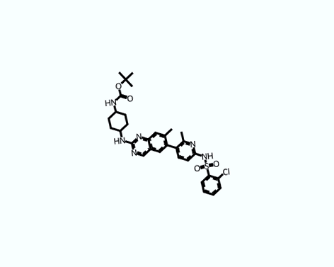 Cc1cc2nc(NC3CCC(NC(=O)OC(C)(C)C)CC3)ncc2cc1-c1ccc(NS(=O)(=O)c2ccccc2Cl)nc1C